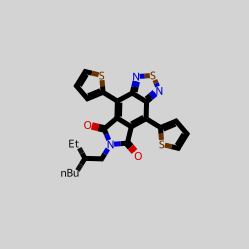 CCCCC(CC)CN1C(=O)c2c(c(-c3cccs3)c3nsnc3c2-c2cccs2)C1=O